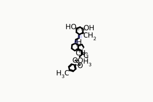 C=C1/C(=C/C=C2/CCC[C@]3(C)[C@@H]([C@@H](C)COS(=O)(=O)c4ccc(C)cc4)CC[C@@H]23)C[C@@H](O)C[C@@H]1O